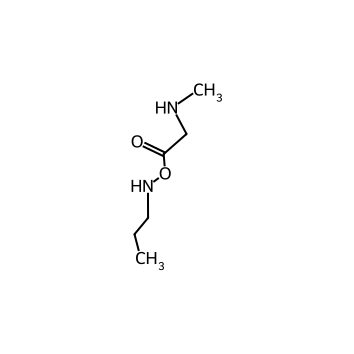 CCCNOC(=O)CNC